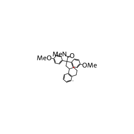 CNC(=O)C(CC1CCCc2[c]cccc21)(c1ccc(OC)cc1)c1ccc(OC)cc1